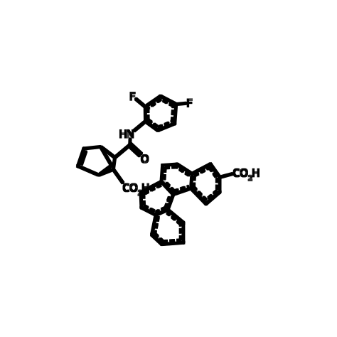 O=C(O)C1C2C=CC(C2)C1C(=O)Nc1ccc(F)cc1F.O=C(O)c1ccc2c(ccc3ccc4ccccc4c32)c1